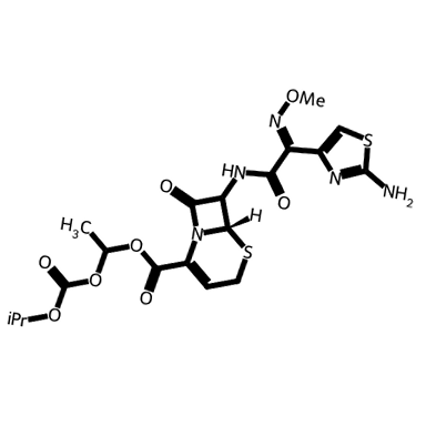 CON=C(C(=O)NC1C(=O)N2C(C(=O)OC(C)OC(=O)OC(C)C)=CCS[C@@H]12)c1csc(N)n1